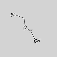 CCCO[C]O